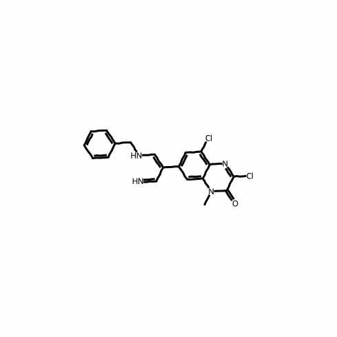 Cn1c(=O)c(Cl)nc2c(Cl)cc(/C(C=N)=C/NCc3ccccc3)cc21